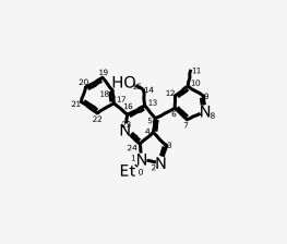 CCn1ncc2c(-c3cncc(C)c3)c(CO)c(-c3ccccc3)nc21